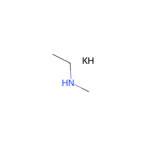 CCNC.[KH]